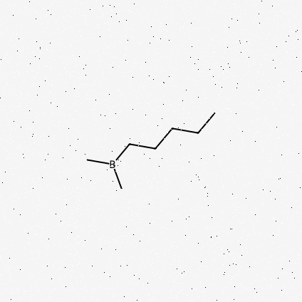 CCCCCB(C)C